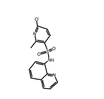 Cc1nc(Cl)ccc1S(=O)(=O)Nc1cccc2cccnc12